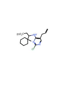 C=CCc1cnc(Cl)nc1NC(CC(=O)OCC)C1(C)CCCCC1